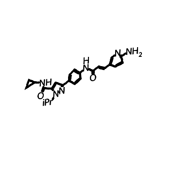 CC(C)n1nc(-c2ccc(NC(=O)/C=C/c3ccc(N)nc3)cc2)cc1C(=O)NC1CC1